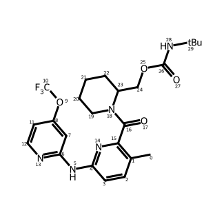 Cc1ccc(Nc2cc(OC(F)(F)F)ccn2)nc1C(=O)N1CCCCC1COC(=O)NC(C)(C)C